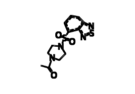 CC(=O)N1CCN(S(=O)(=O)c2cccc3nsnc23)CC1